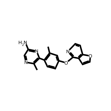 Cc1cc(Oc2nccc3occc23)ccc1-c1nc(N)cnc1C